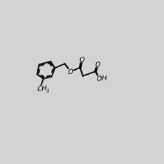 Cc1cccc(COC(=O)CC(=O)O)c1